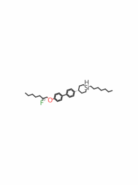 CCCCCCC[Si@H]1CC[C@H](c2ccc(-c3ccc(OC[C@H](F)CCCCC)cc3)cc2)CC1